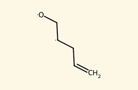 C=CC[CH]C[O]